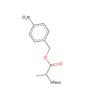 CCCCCC(C)C(=O)OCc1ccc([N+](=O)[O-])cc1